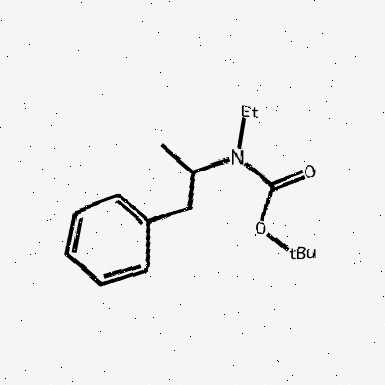 CCN(C(=O)OC(C)(C)C)C(C)Cc1ccccc1